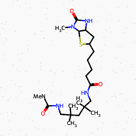 CNC(=O)NCC(C)(C)CC(C)(C)CNC(=O)CCCCC1CC2NC(=O)N(C)C2S1